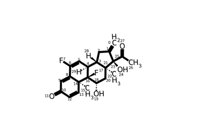 C=C1C[C@H]2[C@@H]3C=C(F)C4=CC(=O)C=C[C@]4(C)[C@@]3(F)[C@@H](O)C[C@]2(C)[C@@]1(O)C(C)=O